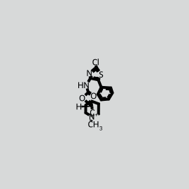 C[N+]12CCC(CC1)[C@@H](OC(=O)Nc1nc(Cl)sc1-c1ccccc1)C2